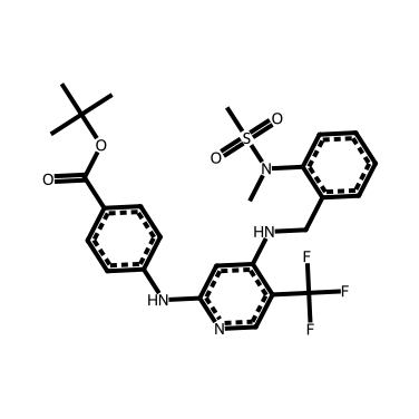 CN(c1ccccc1CNc1cc(Nc2ccc(C(=O)OC(C)(C)C)cc2)ncc1C(F)(F)F)S(C)(=O)=O